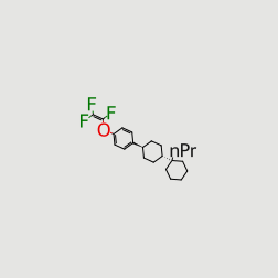 CCCC1([C@H]2CC[C@H](c3ccc(OC(F)=C(F)F)cc3)CC2)CCCCC1